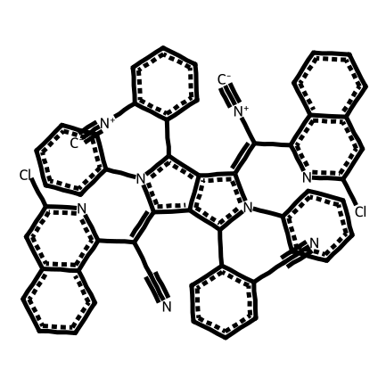 [C-]#[N+]/C(c1nc(Cl)cc2ccccc12)=c1\c2c(-c3ccccc3[N+]#[C-])n(-c3ccccc3)/c(=C(/C#N)c3nc(Cl)cc4ccccc34)c2c(-c2ccccc2C#N)n1-c1ccccc1